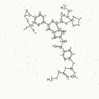 CCOC(=O)CN(CC)Cc1ccc(C(=O)Nc2nc3nc(-c4cnc(C5CC5)c(C(F)(F)F)c4)cc(N(C)CC4(COC)CCCC4)c3[nH]2)nc1